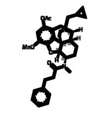 COc1cc(OC(C)=O)c2c3c1O[C@H]1[C@@H](N(C)C(=O)CCc4ccccc4)CC[C@H]4[C@@H](C2)N(CC2CC2)CC[C@@]341